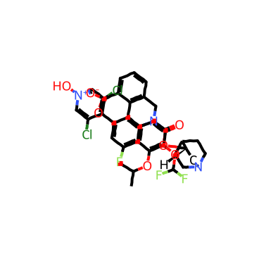 CC(C)Oc1cc([C@H](Cc2c(Cl)c[n+](O)cc2Cl)c2c(CN(C(=O)O[C@H]3CN4CCC3CC4)c3cccc(F)c3)cccc2C(=O)[O-])ccc1OC(F)F